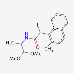 COC(OC)C(C)NC(=O)C(I)c1c(C)ccc2ccccc12